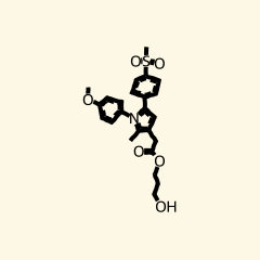 COc1ccc(-n2c(-c3ccc(S(C)(=O)=O)cc3)cc(CC(=O)OCCCO)c2C)cc1